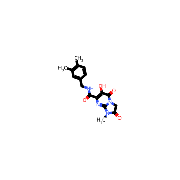 Cc1ccc(CNC(=O)c2nc3n(c(=O)c2O)CC(=O)N3C)cc1C